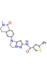 CC(C)c1cc(C(=O)Nc2cc3n(n2)CCN3c2ccc3c(c2)CCN(C)C3=O)cs1